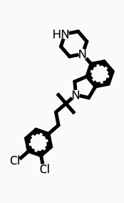 CC(C)(CCc1ccc(Cl)c(Cl)c1)N1Cc2cccc(N3CCNCC3)c2C1